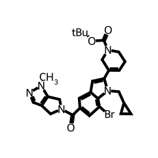 Cn1ncc2c1CN(C(=O)c1cc(Br)c3c(c1)cc(C1=CCCN(C(=O)OC(C)(C)C)C1)n3CC1CC1)C2